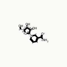 NC(=O)C1=CC=CN([C@@H]2O[C@H](CO)[C@@H](O)[C@H]2O)C1